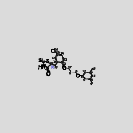 Cc1cc(C)cc(OCCCOc2ccc(Cl)cc2/C=C2\SC(=S)NC2=O)c1